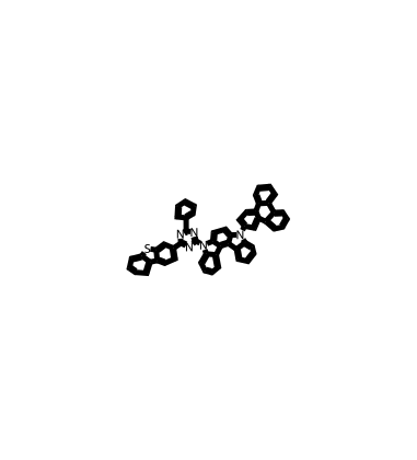 c1ccc(-c2nc(-c3ccc4c(c3)sc3ccccc34)nc(-n3c4ccccc4c4c5c6ccccc6n(-c6ccc7c8ccccc8c8ccccc8c7c6)c5ccc43)n2)cc1